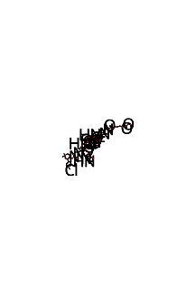 COC(=O)CCCCCCC(=O)N1CCN(CCCNc2ccc(S(=O)(=O)NC(=O)c3ccc(N4CCN(CC5=C(c6ccc(Cl)cc6)CC(C)(C)CC5)CC4)cc3Oc3cnc4[nH]ccc4c3)cc2S(=O)(=O)C(F)(F)F)CC1